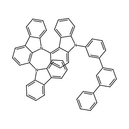 c1ccc(-c2cccc(-c3cccc(-n4c5ccccc5c5c(-n6c7ccccc7c7cccc(-n8c9ccccc9c9ccccc98)c76)cccc54)c3)c2)cc1